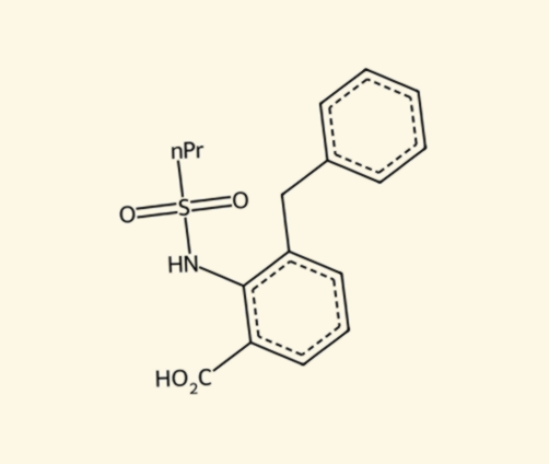 CCCS(=O)(=O)Nc1c(Cc2ccccc2)cccc1C(=O)O